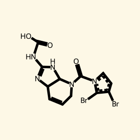 O=C(O)NC1=NC2C=CCN(C(=O)n3ccc(Br)c3Br)C2N1